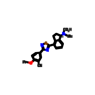 CC(C)Oc1ccc(-c2nsc(-c3cccc4c3CC[C@@H]4N(C(=O)O)C(C)(C)C)n2)cc1C#N